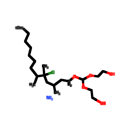 CCCCCCCCCCCCCCCCC(C)C(C)(Cl)CC(C)C[SiH2]OC(OCCO)OCCO.N